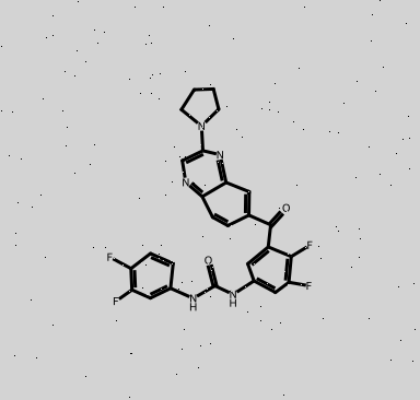 O=C(Nc1ccc(F)c(F)c1)Nc1cc(F)c(F)c(C(=O)c2ccc3ncc(N4CCCC4)nc3c2)c1